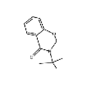 CC(C)(C)N1COc2ccccc2C1=O